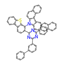 c1ccc(-c2cccc(-c3nc(-c4ccc5ccccc5c4)nc(-c4ccc5c(sc6ccccc65)c4-n4c5cc6ccccc6cc5c5c6ccccc6ccc54)n3)c2)cc1